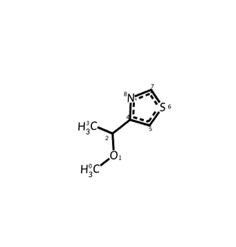 COC(C)c1cs[c]n1